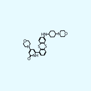 O=c1cc(N2CCOCC2)cc(-c2cccc3c2Sc2ccc(NC4CCC(N5CCOCC5)CC4)cc2S3)[nH]1